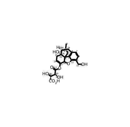 CN1CCC23c4c5ccc(CO)c4OC2C(OC(=O)[C@@H](O)[C@H](O)C(=O)O)=CC[C@@]3(O)[C@H]1C5